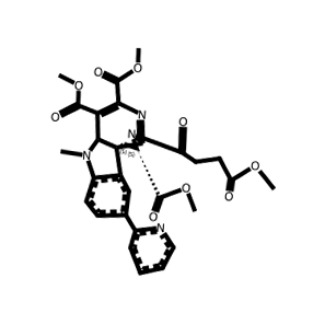 COC(=O)CCC(=O)N1C2=NC(C(=O)OC)=C(C(=O)OC)C3N(C)c4ccc(-c5ccccn5)cc4[C@]23C[C@H]1C(=O)OC